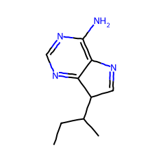 CCC(C)C1C=Nc2c(N)ncnc21